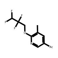 CC(=O)c1cnc(OCC(F)(F)C(F)F)c(C)c1